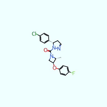 C[C@@H]1[C@@H](Oc2ccc(F)cc2)CN1C(=O)N1N=CC[C@H]1c1ccc(Cl)cc1